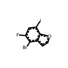 Fc1cc(I)c2occc2c1Br